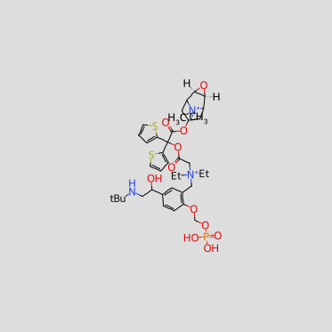 CC[N+](CC)(CC(=O)OC(C(=O)OC1CC2[C@H]3O[C@H]3C(C1)[N+]2(C)C)(c1cccs1)c1cccs1)Cc1cc(C(O)CNC(C)(C)C)ccc1OCOP(=O)(O)O